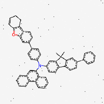 CC1(C)c2cc(-c3ccccc3)ccc2-c2ccc(N(c3ccc(-c4ccc5c6c(oc5c4)C=CCC6)cc3)c3cc4ccccc4c4ccccc34)cc21